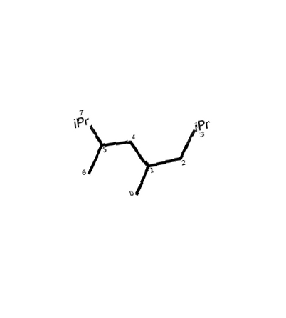 C[C](CC(C)C)CC(C)C(C)C